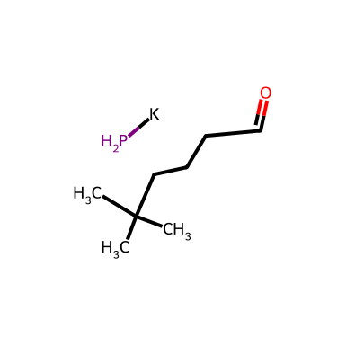 CC(C)(C)CCCC=O.[PH2][K]